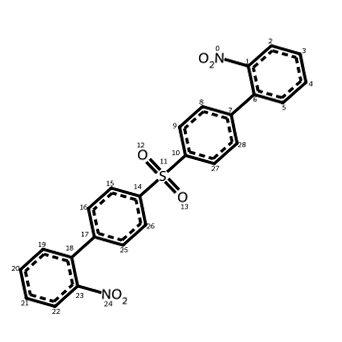 O=[N+]([O-])c1ccccc1-c1ccc(S(=O)(=O)c2ccc(-c3ccccc3[N+](=O)[O-])cc2)cc1